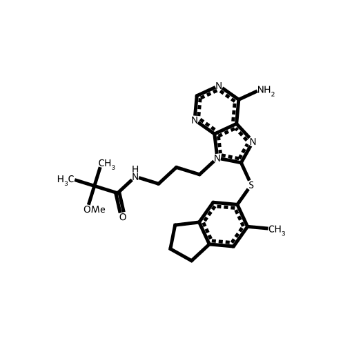 COC(C)(C)C(=O)NCCCn1c(Sc2cc3c(cc2C)CCC3)nc2c(N)ncnc21